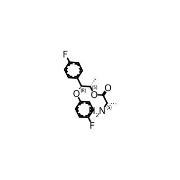 C[C@H](N)C(=O)O[C@@H](C)[C@H](Oc1ccc(F)cc1)c1ccc(F)cc1